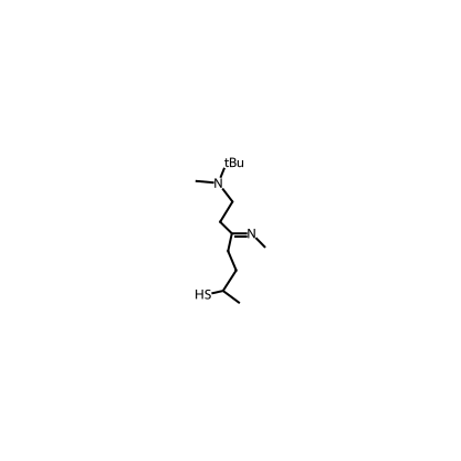 CN=C(CCC(C)S)CCN(C)C(C)(C)C